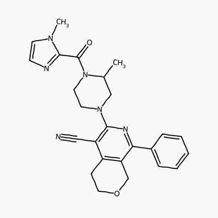 CC1CN(c2nc(-c3ccccc3)c3c(c2C#N)CCOC3)CCN1C(=O)c1nccn1C